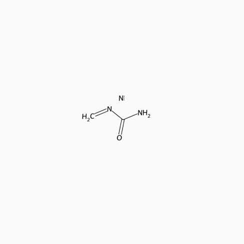 C=NC(N)=O.[N]